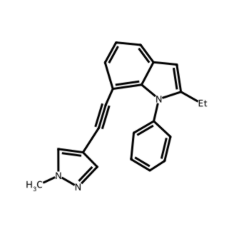 CCc1cc2cccc(C#Cc3cnn(C)c3)c2n1-c1ccccc1